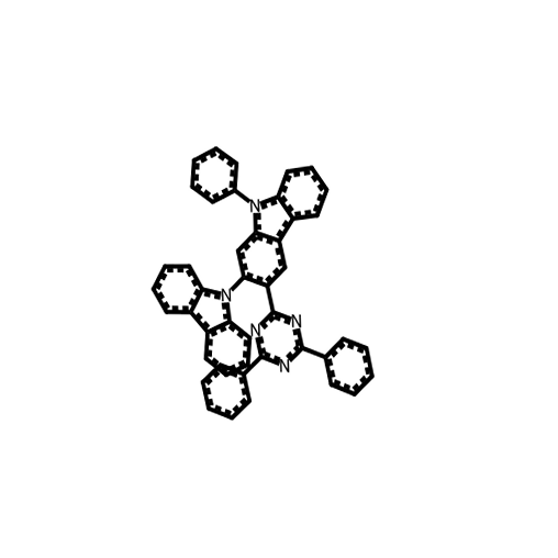 c1ccc(-c2nc(-c3ccccc3)nc(-c3cc4c5ccccc5n(-c5ccccc5)c4cc3-n3c4ccccc4c4ccccc43)n2)cc1